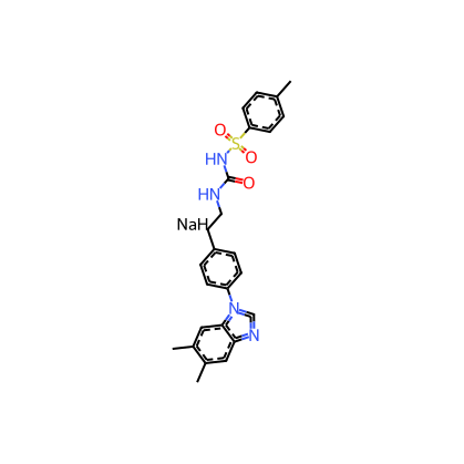 Cc1ccc(S(=O)(=O)NC(=O)NCCc2ccc(-n3cnc4cc(C)c(C)cc43)cc2)cc1.[NaH]